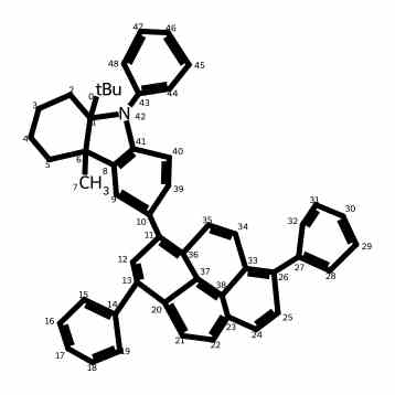 CC(C)(C)C12CCCCC1(C)c1cc(-c3cc(-c4ccccc4)c4ccc5ccc(-c6ccccc6)c6ccc3c4c56)ccc1N2c1ccccc1